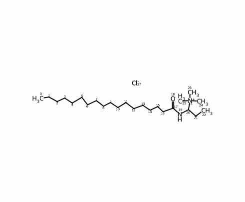 CCCCCCCCCCCCCCCCCC(=O)NC(CC)[N+](C)(C)C.[Cl-]